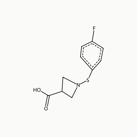 O=C(O)C1CN(Sc2ccc(F)cc2)C1